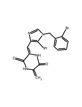 C=c1[nH]c(=O)c(=Cc2ncn(Cc3ccccc3Br)c2C(C)C)[nH]c1=O